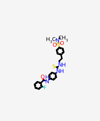 CN(C)S(=O)(=O)c1ccc(CCNC(=S)Nc2ccc(NC(=O)c3ccccc3F)cc2)cc1